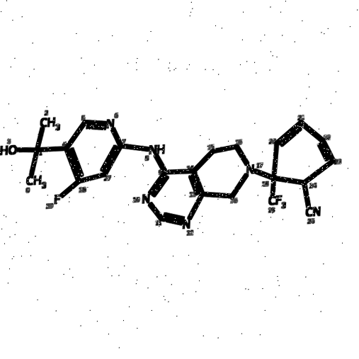 CC(C)(O)c1cnc(Nc2ncnc3c2CCN(C2(C(F)(F)F)C=CC=CC2C#N)C3)cc1F